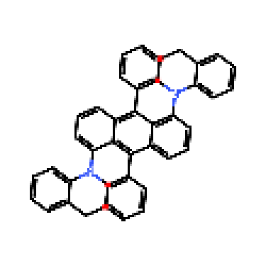 c1ccc(-c2c3cccc(N4CCCc5ccccc54)c3c(-c3ccccc3)c3cccc(N4CCCc5ccccc54)c23)cc1